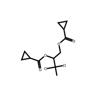 CC(Cl)(Cl)C(COC(=O)C1CC1)OC(=O)C1CC1